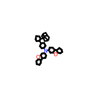 c1ccc(C23CC4CC(CC(C4)C2)C3)c(-c2ccc(N(c3ccc4c(c3)oc3ccccc34)c3ccc4c(c3)oc3ccccc34)cc2)c1